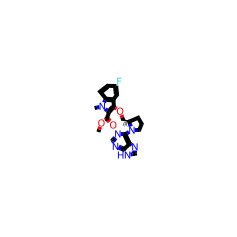 COC(=O)c1c(OC[C@H]2CCCN2c2ncnc3[nH]cnc23)c2cc(F)ccc2n1C